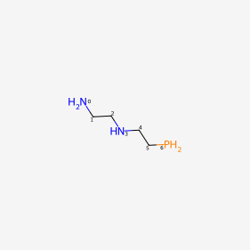 NCCNCCP